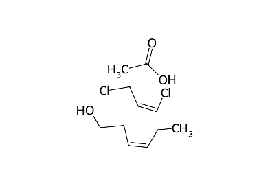 CC(=O)O.CC/C=C\CCO.Cl/C=C\CCl